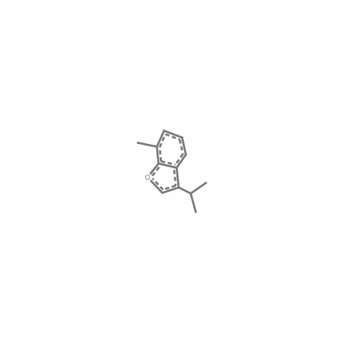 Cc1cccc2c(C(C)C)coc12